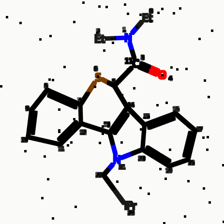 CCN(CC)[11C](=O)C1Sc2ccccc2-c2c1c1ccccc1n2CC(C)C